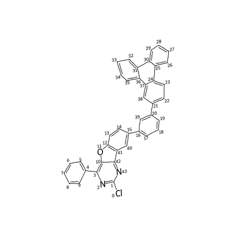 Clc1nc(-c2ccccc2)c2oc3ccc(-c4cccc(-c5ccc6c7ccccc7c7ccccc7c6c5)c4)cc3c2n1